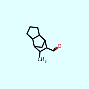 CC1C(C=O)C2CC1C1CCCC21